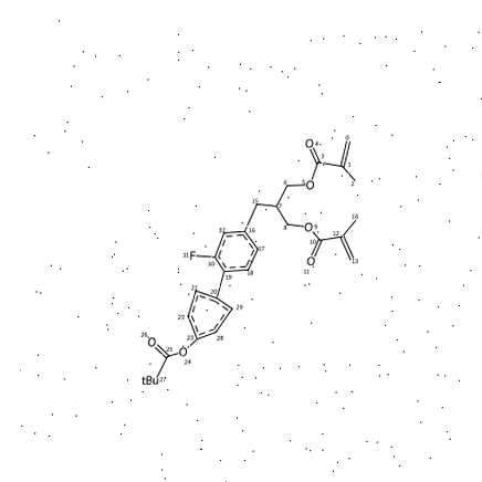 C=C(C)C(=O)OCC(COC(=O)C(=C)C)Cc1ccc(-c2ccc(OC(=O)C(C)(C)C)cc2)c(F)c1